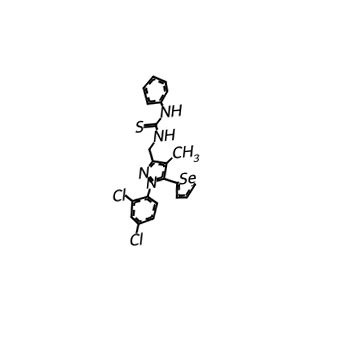 Cc1c(CNC(=S)Nc2ccccc2)nn(-c2ccc(Cl)cc2Cl)c1-c1ccc[se]1